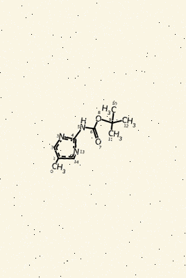 Cc1cnc(NC(=O)OC(C)(C)C)nc1